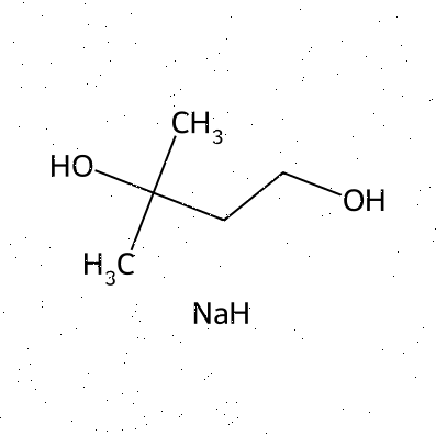 CC(C)(O)CCO.[NaH]